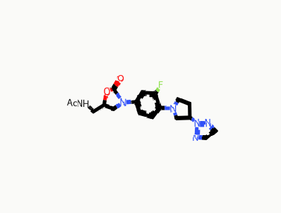 CC(=O)NCC1CN(c2ccc(N3CCC(n4nccn4)C3)c(F)c2)C(=O)O1